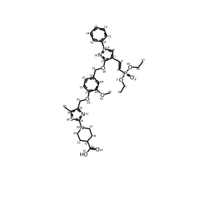 CCOP(=O)(C=Cc1cn(-c2ccccc2)nc1OCc1ccc(OCc2nc(N3CCC(C(=O)O)CC3)sc2C)c(OC)c1)OCC